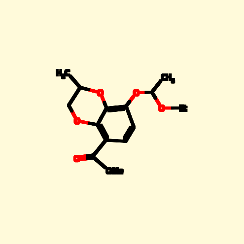 CCOC(C)Oc1ccc(C(=O)OC)c2c1OC(C)CO2